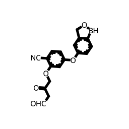 N#Cc1ccc(Oc2ccc3c(c2)COB3)cc1OCC(=O)CC=O